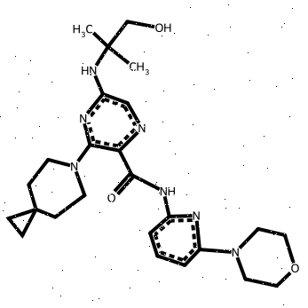 CC(C)(CO)Nc1cnc(C(=O)Nc2cccc(N3CCOCC3)n2)c(N2CCC3(CC2)CC3)n1